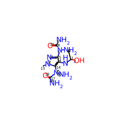 CC(O)Nc1c(N(N)C(N)=O)nn(C)c1N(N)C(N)=O